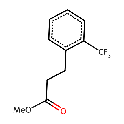 COC(=O)CCc1ccccc1C(F)(F)F